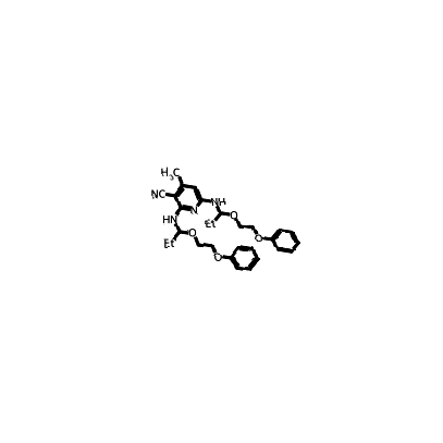 CCC(Nc1cc(C)c(C#N)c(NC(CC)OCCOc2ccccc2)n1)OCCOc1ccccc1